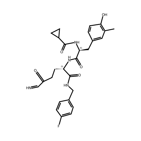 Cc1cc(C[C@H](NC(=O)C2CC2)C(=O)N[C@@H](CCC(=O)C=N)C(=O)NCc2ccc(F)cc2)ccc1O